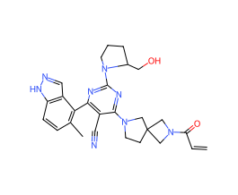 C=CC(=O)N1CC2(CCN(c3nc(N4CCCC4CO)nc(-c4c(C)ccc5[nH]ncc45)c3C#N)C2)C1